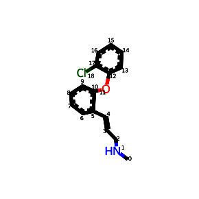 CNCC=Cc1ccccc1Oc1ccccc1Cl